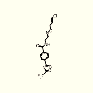 O=C(NCC=NOCC=CCl)c1ccc(-c2noc(C(F)(F)F)n2)cc1